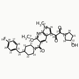 COc1nc2c(cc1C(=O)N1CCC(Cc3ccc(F)cc3)CC1)c(C(=O)C(=O)N1CC[C@H](O)C1)cn2C